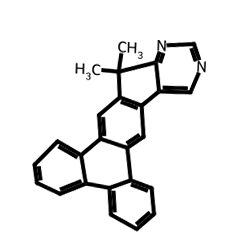 CC1(C)c2cc3c4ccccc4c4ccccc4c3cc2-c2cncnc21